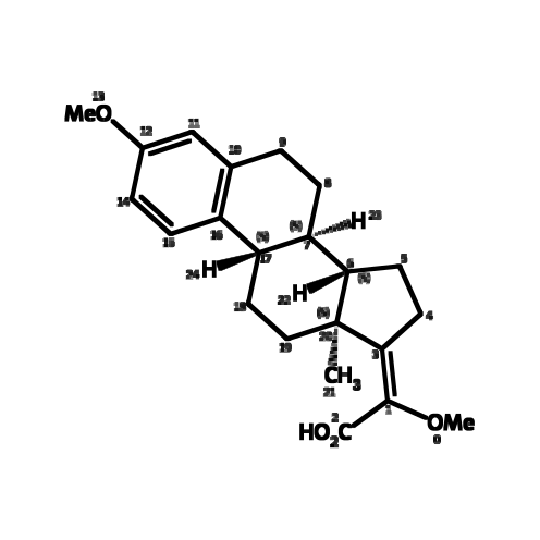 COC(C(=O)O)=C1CC[C@H]2[C@@H]3CCc4cc(OC)ccc4[C@H]3CC[C@]12C